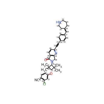 CC1(C)[C@H](Oc2ccc(C#N)c(Cl)c2)C(C)(C)[C@H]1N1Cc2nc(C#Cc3ccc(/C=C4/CCCNCC4)cc3)ccc2C1=O